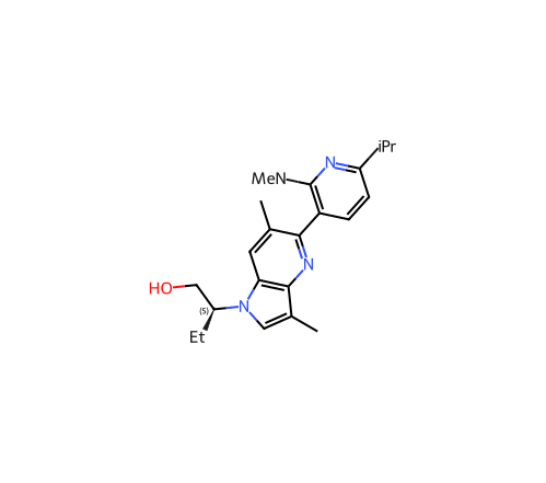 CC[C@@H](CO)n1cc(C)c2nc(-c3ccc(C(C)C)nc3NC)c(C)cc21